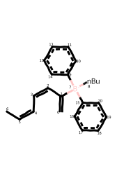 C=C(/C=C\C=C/C)[B-](CCCC)(c1ccccc1)c1ccccc1